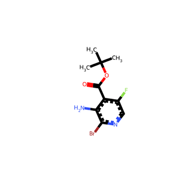 CC(C)(C)OC(=O)c1c(F)cnc(Br)c1N